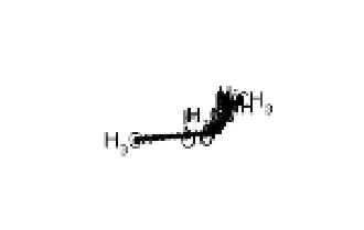 CCCCCCCCCCCCCCCCCC(=O)NCCCCC(=O)N1CCN(c2ccc(Cn3cc4nc(N=[N+]=[N-])nc(NCCCC)c4n3)c(OC)c2)CC1